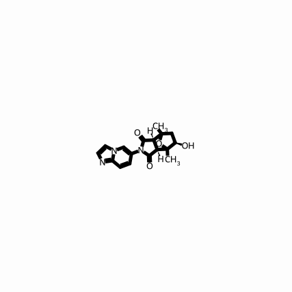 CC12C[C@@H](O)C(C)(O1)[C@H]1C(=O)N(c3ccc4nccn4c3)C(=O)[C@H]12